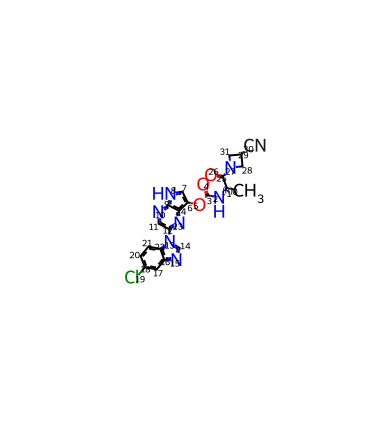 C[C@@H](NC(=O)Oc1c[nH]c2ncc(-n3cnc4cc(Cl)ccc43)nc12)C(=O)N1CC(C#N)C1